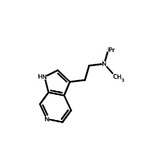 CC(C)N(C)CCc1c[nH]c2cnccc12